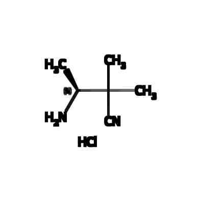 C[C@H](N)C(C)(C)C#N.Cl